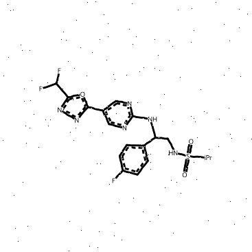 CC(C)S(=O)(=O)NCC(Nc1ncc(-c2nnc(C(F)F)o2)cn1)c1ccc(F)cc1